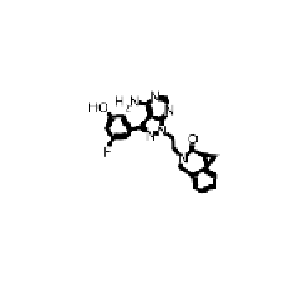 Nc1ncnc2c1c(-c1cc(O)cc(F)c1)nn2CCN(Cc1ccccc1)C(=O)C1CC1